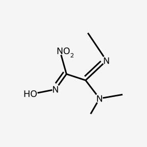 C/N=C(\C(=N\O)[N+](=O)[O-])N(C)C